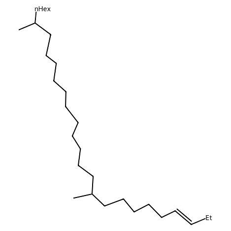 [CH2]CC=CCCCCCC(C)CCCCCCCCCCCC(C)CCCCC[CH2]